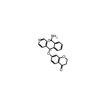 NC(=O)c1ccccc1[C@@H](Oc1ccc2c(c1)OCCC2=O)c1ccncc1